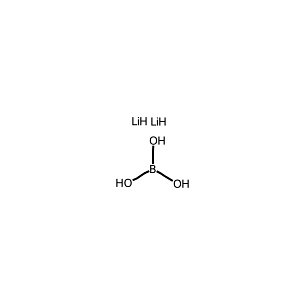 OB(O)O.[LiH].[LiH]